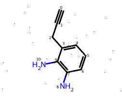 C#CCc1cccc(N)c1N